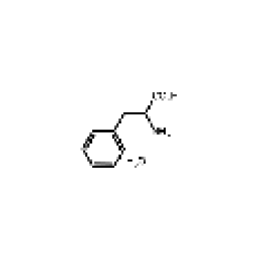 NC(Cc1ccccc1)C(=O)O.O